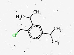 CC(C)c1ccc(CCl)c(C(C)C)c1